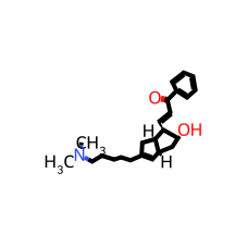 CN(C)CCCCCC1=C[C@H]2C[C@@H](O)[C@H](/C=C/C(=O)c3ccccc3)[C@H]2C1